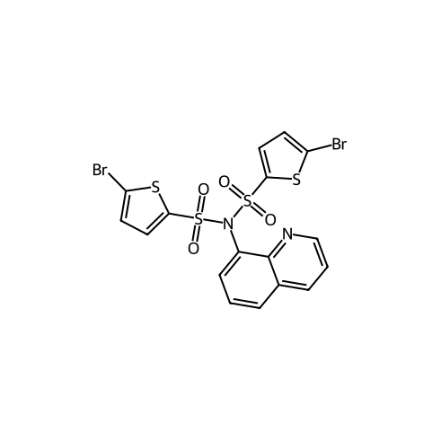 O=S(=O)(c1ccc(Br)s1)N(c1cccc2cccnc12)S(=O)(=O)c1ccc(Br)s1